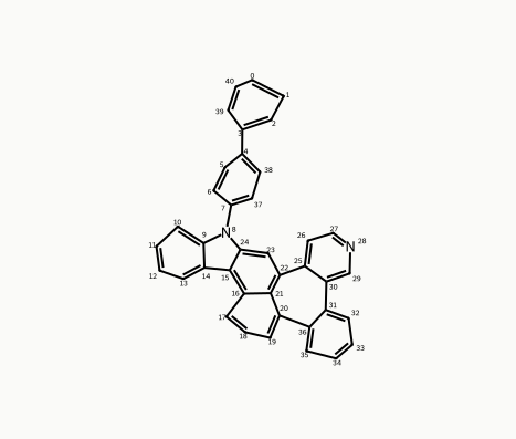 c1ccc(-c2ccc(-n3c4ccccc4c4c5cccc6c5c(cc43)-c3ccncc3-c3ccccc3-6)cc2)cc1